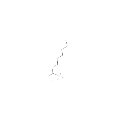 CCCCCCCCCCCCOC(C)[N+](C)(C)C